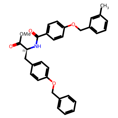 COC(=O)[C@H](Cc1ccc(OCc2ccccc2)cc1)NC(=O)c1ccc(OCc2cccc(C)c2)cc1